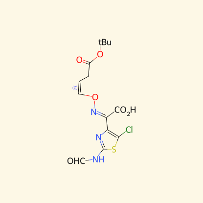 CC(C)(C)OC(=O)C/C=C\ON=C(C(=O)O)c1nc(NC=O)sc1Cl